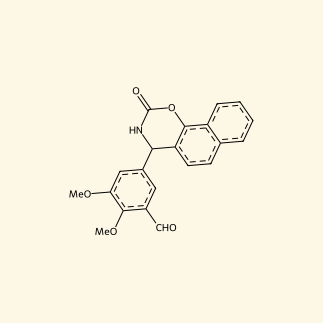 COc1cc(C2NC(=O)Oc3c2ccc2ccccc32)cc(C=O)c1OC